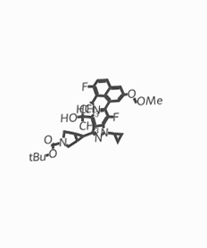 C#Cc1c(F)ccc2cc(OCOC)cc(-c3nc(C(C)(C)O)c4c(C5C6CN(C(=O)OC(C)(C)C)CC65)nn(C5CC5)c4c3F)c12